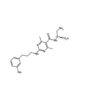 Cc1nc(NCCCc2cccc(O)c2)nc(C)c1C(=O)N[C@@H](CN)C(=O)O